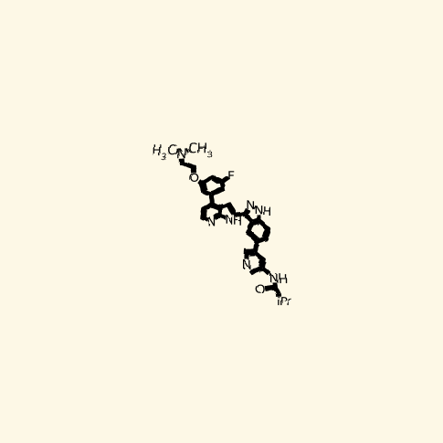 CC(C)CC(=O)Nc1cncc(-c2ccc3[nH]nc(-c4cc5c(-c6cc(F)cc(OCCN(C)C)c6)ccnc5[nH]4)c3c2)c1